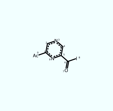 CC(=O)c1cncc(C(=O)I)n1